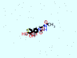 CC(=O)NC[C@H]1CN(c2ccc(C3(O)C=CSC(O)C3O)c(F)c2)C(=O)O1